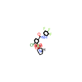 CC(C)(C)OC(=O)N1C2CC[C@H]1C[C@@H](S(=O)(=O)c1cc(C(=O)Nc3cc(F)c(F)c(F)c3)ccc1Cl)C2